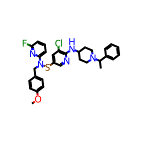 COc1ccc(CN(Sc2cnc(NC3CCN(C(C)c4ccccc4)CC3)c(Cl)c2)c2cccc(F)n2)cc1